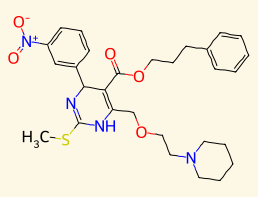 CSC1=NC(c2cccc([N+](=O)[O-])c2)C(C(=O)OCCCc2ccccc2)=C(COCCN2CCCCC2)N1